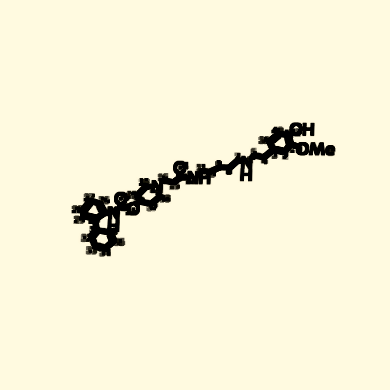 COc1cc(CCNCCCCCNC(=O)CCN2CCC(OC(=O)Nc3ccccc3-c3ccccc3)CC2)ccc1O